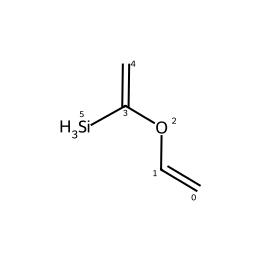 C=COC(=C)[SiH3]